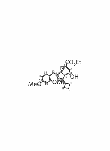 CCOC(=O)c1cc(O)c2c(C3CCC3)nn(Cc3ccc(OC)cc3OC)c2n1